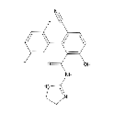 N#Cc1ccc(O)c(C(=O)NC2=NCCN2)c1-c1cc(F)ccc1F